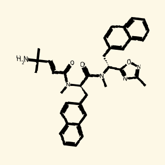 Cc1noc([C@@H](Cc2ccc3ccccc3c2)N(C)C(=O)[C@@H](Cc2ccc3ccccc3c2)N(C)C(=O)C=CC(C)(C)N)n1